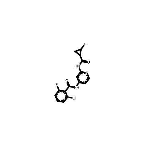 O=C(Nc1ccnc(NC(=O)C2CC2F)c1)c1c(F)cccc1Cl